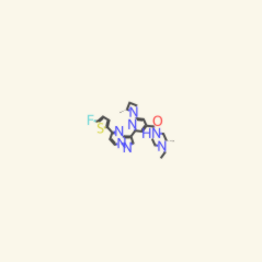 CCN(CC)[C@@H](C)CNC(=O)c1cc(-c2cnn3ccc(-c4ccc(F)s4)nc23)nc(N2CC[C@H]2C)c1